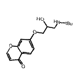 CC(C)(C)NCC(O)COc1ccc2c(=O)ccoc2c1